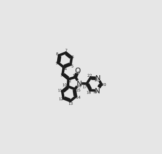 O=C1C(=Cc2ccccc2)c2ccccc2N1c1cncnc1